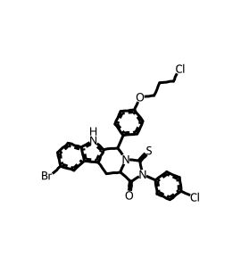 O=C1C2Cc3c([nH]c4ccc(Br)cc34)C(c3ccc(OCCCCl)cc3)N2C(=S)N1c1ccc(Cl)cc1